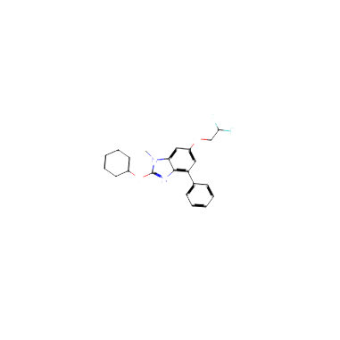 Cn1c(OC2CCCCC2)nc2c(-c3ccccc3)cc(OCC(F)F)cc21